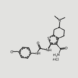 CN(C)C1CCc2c(sc(NC(=O)Nc3ccc(Cl)cc3)c2C(N)=O)C1.Cl